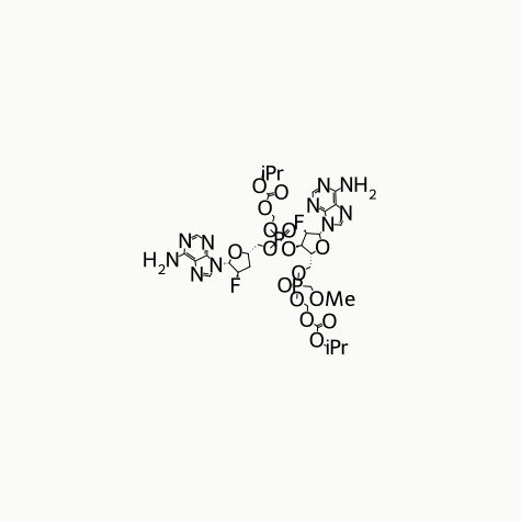 COCP(=O)(OCOC(=O)OC(C)C)OC[C@H]1O[C@@H](n2cnc3c(N)ncnc32)[C@H](F)[C@@H]1OP(=O)(OCOC(=O)OC(C)C)OC[C@@H]1C[C@@H](F)[C@H](n2cnc3c(N)ncnc32)O1